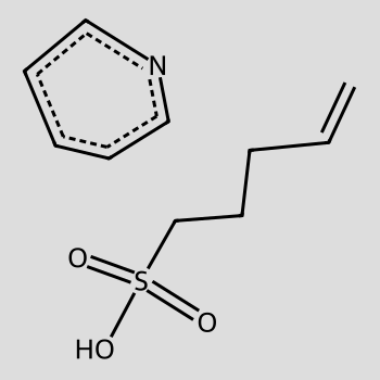 C=CCCCS(=O)(=O)O.c1ccncc1